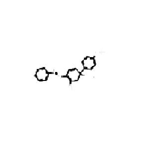 O=[N+]([O-])C1(c2ccc(O)cc2)C=CC(N=Nc2ccccc2)=C(Cl)C1